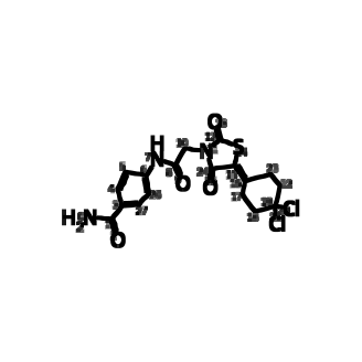 NC(=O)c1ccc(NC(=O)CN2C(=O)SC(=C3CCC(Cl)(Cl)CC3)C2=O)cc1